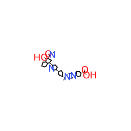 CC(c1ccc(-c2ccc(-c3cc(C(=O)N(C)C)c(O)c4ccccc34)nc2)cc1)N1CCN(c2ccc(C(=O)O)cc2)CC1